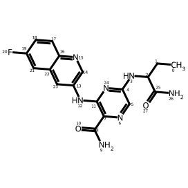 CCC(Nc1cnc(C(N)=O)c(Nc2cnc3ccc(F)cc3c2)n1)C(N)=O